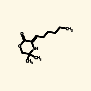 CCCCCC=C1NC(C)(C)COC1=O